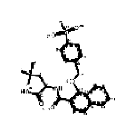 CC(C)(C)CC(NC(=O)c1ccc2ccccc2c1OCc1ccc(S(C)(=O)=O)cc1)C(=O)O